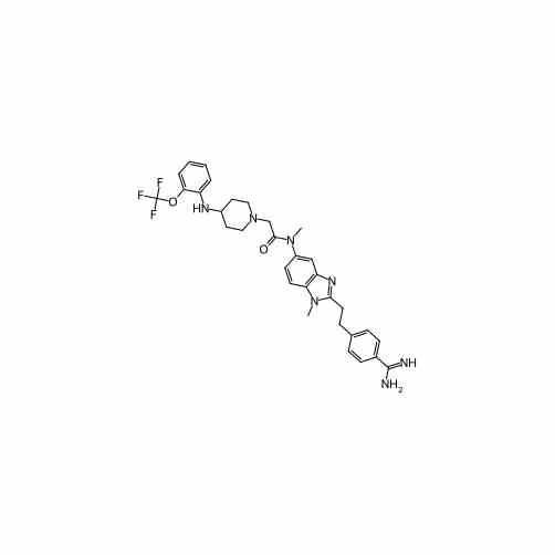 CN(C(=O)CN1CCC(Nc2ccccc2OC(F)(F)F)CC1)c1ccc2c(c1)nc(CCc1ccc(C(=N)N)cc1)n2C